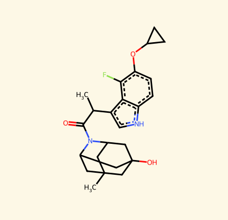 CC(C(=O)N1C2CC3(C)CC1CC(O)(C2)C3)c1c[nH]c2ccc(OC3CC3)c(F)c12